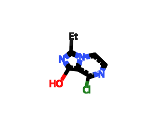 CCc1nc(O)c2c(Cl)nccn12